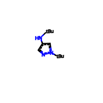 CC(C)(C)Nc1cnn(C(C)(C)C)c1